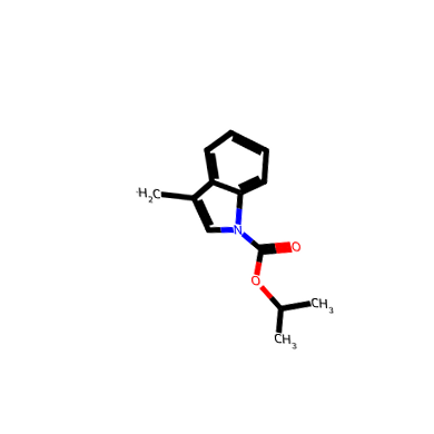 [CH2]c1cn(C(=O)OC(C)C)c2ccccc12